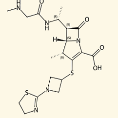 CNCC(=O)N[C@H](C)[C@H]1C(=O)N2C(C(=O)O)=C(SC3CN(C4=NCCS4)C3)[C@H](C)[C@H]12